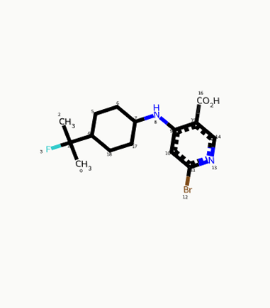 CC(C)(F)C1CCC(Nc2cc(Br)ncc2C(=O)O)CC1